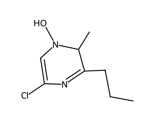 CCCC1=NC(Cl)=CN(O)C1C